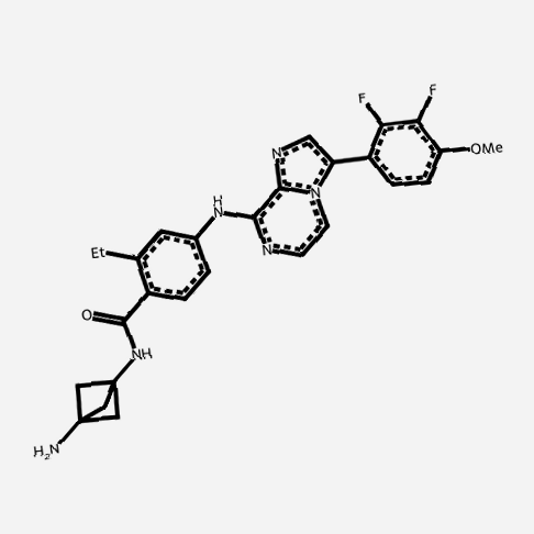 CCc1cc(Nc2nccn3c(-c4ccc(OC)c(F)c4F)cnc23)ccc1C(=O)NC12CC(N)(C1)C2